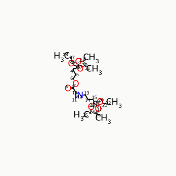 CCO[Si](CCCOC(=O)C1CN1CCC[Si](OCC)(OCC)OCC)(OCC)OCC